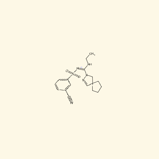 CCN/C(=N/S(=O)(=O)c1cccc(C#N)c1)N1CC2(C=N1)CCCC2